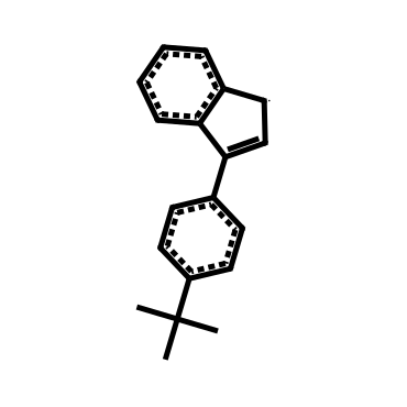 CC(C)(C)c1ccc(C2=C[CH]c3ccccc32)cc1